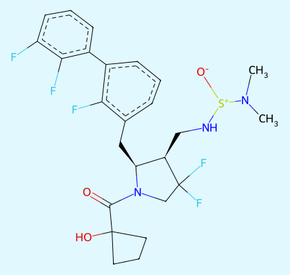 CN(C)[S+]([O-])NC[C@@H]1[C@H](Cc2cccc(-c3cccc(F)c3F)c2F)N(C(=O)C2(O)CCC2)CC1(F)F